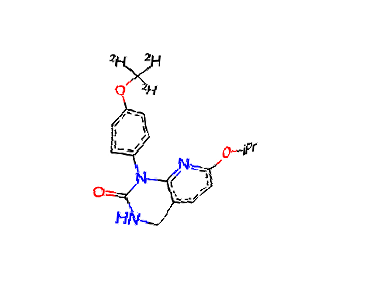 [2H]C([2H])([2H])Oc1ccc(N2C(=O)NCc3ccc(OC(C)C)nc32)cc1